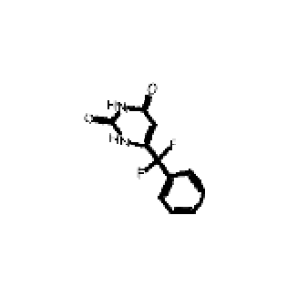 O=c1cc(C(F)(F)c2ccccc2)[nH]c(=O)[nH]1